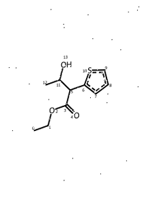 CCOC(=O)C(c1cccs1)C(C)O